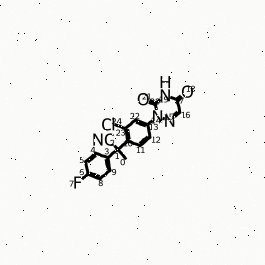 CC(C#N)(c1ccc(F)cc1)c1ccc(-n2ncc(=O)[nH]c2=O)cc1Cl